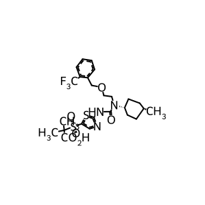 CC(C)(C(=O)O)S(=O)(=O)c1cnc(NC(=O)N(CCOCc2ccccc2C(F)(F)F)[C@H]2CC[C@H](C)CC2)s1